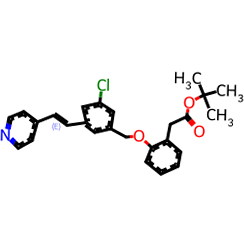 CC(C)(C)OC(=O)Cc1ccccc1OCc1cc(Cl)cc(/C=C/c2ccncc2)c1